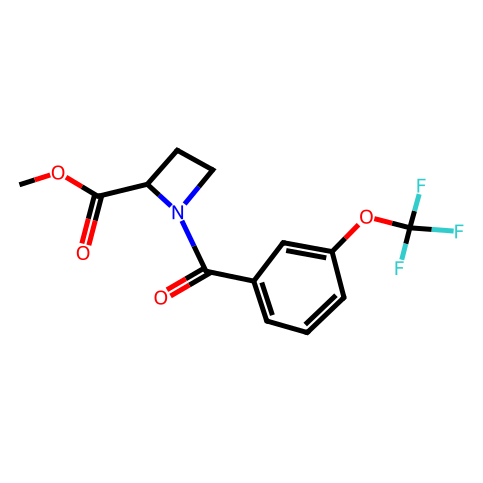 COC(=O)C1CCN1C(=O)c1cccc(OC(F)(F)F)c1